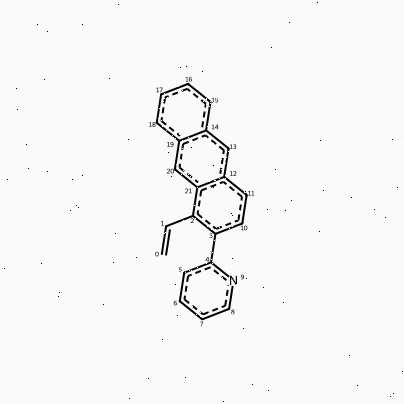 C=Cc1c(-c2ccccn2)ccc2cc3ccccc3cc12